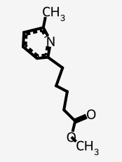 COC(=O)CCCCc1cccc(C)n1